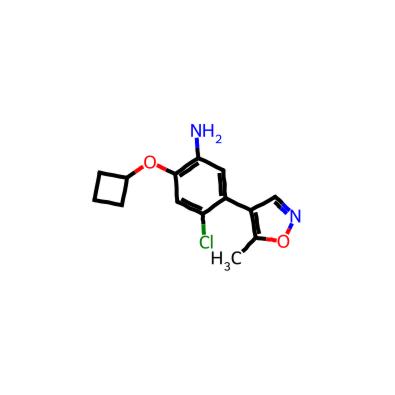 Cc1oncc1-c1cc(N)c(OC2CCC2)cc1Cl